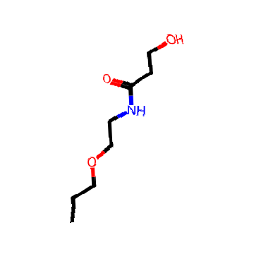 CCCOCCNC(=O)CCO